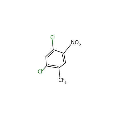 O=[N+]([O-])c1cc(C(F)(F)F)c(Cl)cc1Cl